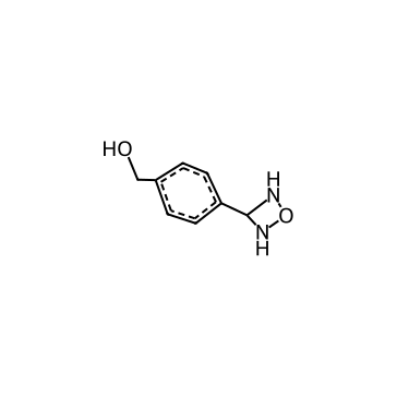 OCc1ccc(C2NON2)cc1